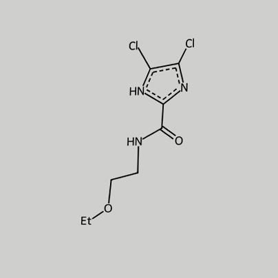 CCOCCNC(=O)c1nc(Cl)c(Cl)[nH]1